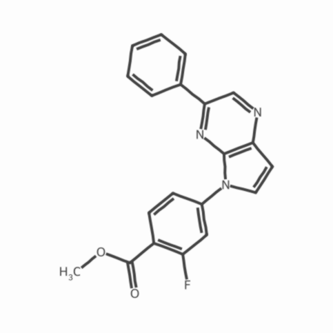 COC(=O)c1ccc(-n2ccc3ncc(-c4ccccc4)nc32)cc1F